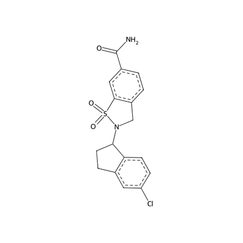 NC(=O)c1ccc2c(c1)S(=O)(=O)N(C1CCc3cc(Cl)ccc31)C2